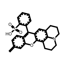 C=c1ccc2c(c1)Oc1c(cc3c4c1CCCN4CCC3)C=2c1ccccc1S(=O)(=O)O